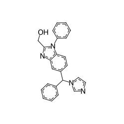 OCc1nc2cc(C(c3ccccc3)n3ccnc3)ccc2n1-c1ccccc1